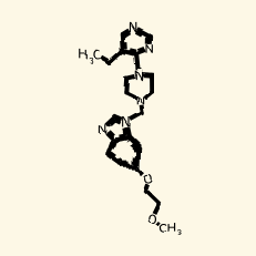 CCc1cncnc1N1CCN(Cn2cnc3ccc(OCCOC)cc32)CC1